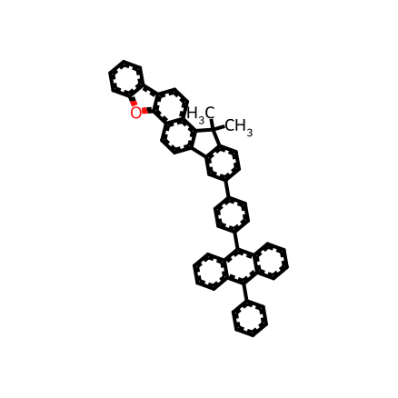 CC1(C)c2ccc(-c3ccc(-c4c5ccccc5c(-c5ccccc5)c5ccccc45)cc3)cc2-c2ccc3c(ccc4c5ccccc5oc34)c21